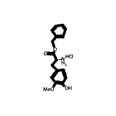 COc1cc(C[C@@H](N)C(=O)OCc2ccccc2)ccc1O.Cl